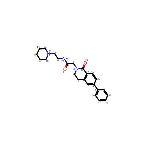 O=C(CN1CCc2cc(-c3ccccc3)ccc2C1=O)NCCN1CCCCC1